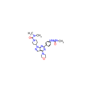 CNC(=O)Nc1ccc(-c2nc(N3CCOCC3)c3cnn(C4CCN(C(=O)N(C)C)CC4)c3n2)cc1